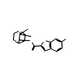 CC1(C)[C@@H](NC(=O)c2cc3ccc(Cl)cc3o2)C2CCN1CC2